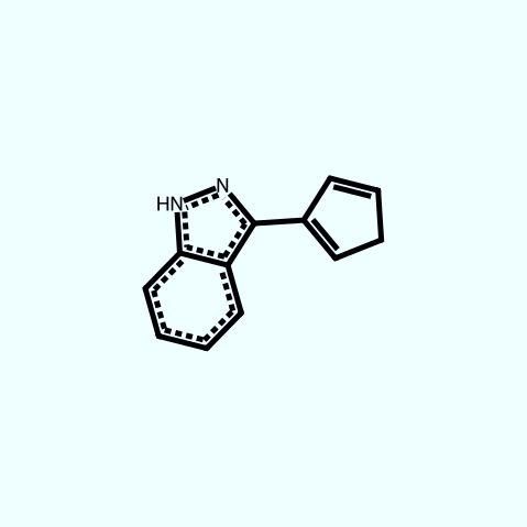 C1=CC(c2n[nH]c3ccccc23)=CC1